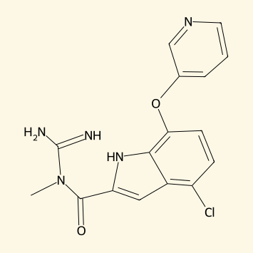 CN(C(=N)N)C(=O)c1cc2c(Cl)ccc(Oc3cccnc3)c2[nH]1